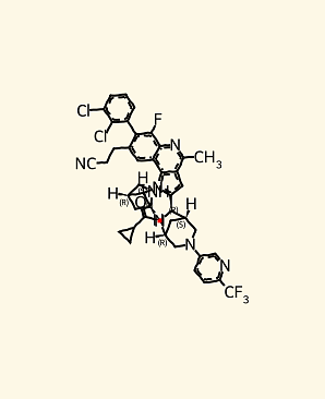 Cc1nc2c(F)c(-c3cccc(Cl)c3Cl)c(CCC#N)cc2c2c1cc([C@H]1[C@H]3C[C@H](CN(c4ccc(C(F)(F)F)nc4)C3)N1C(=O)C1CC1)n2[C@H]1[C@H]2CN[C@@H]1C2